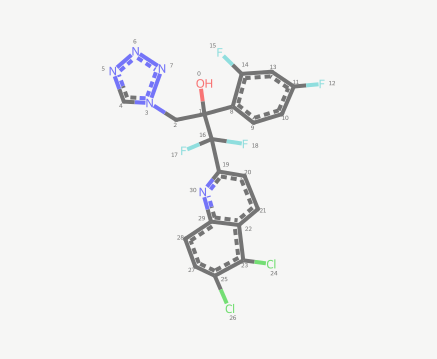 OC(Cn1cnnn1)(c1ccc(F)cc1F)C(F)(F)c1ccc2c(Cl)c(Cl)ccc2n1